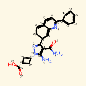 NC(=O)c1c(C2C=c3nc(-c4ccccc4)ccc3=CC2)nn([C@H]2C[C@@H](C(=O)O)C2)c1N